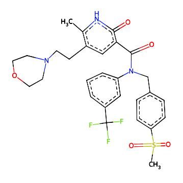 Cc1[nH]c(=O)c(C(=O)N(Cc2ccc(S(C)(=O)=O)cc2)c2cccc(C(F)(F)F)c2)cc1CCN1CCOCC1